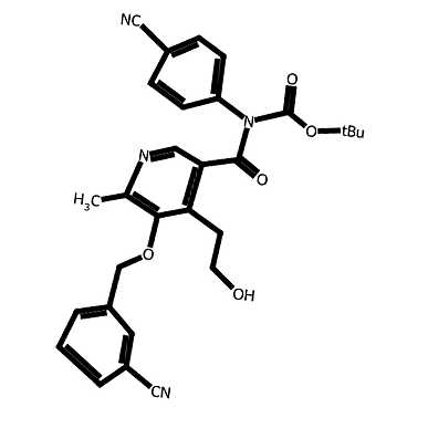 Cc1ncc(C(=O)N(C(=O)OC(C)(C)C)c2ccc(C#N)cc2)c(CCO)c1OCc1cccc(C#N)c1